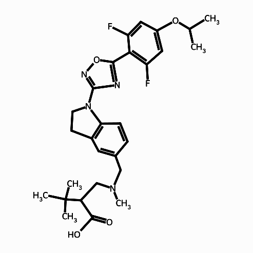 CC(C)Oc1cc(F)c(-c2nc(N3CCc4cc(CN(C)CC(C(=O)O)C(C)(C)C)ccc43)no2)c(F)c1